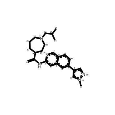 C=C(Nc1cc2cc(-c3cnn(C)c3)ccc2cn1)C1CCCN(CC(C)C)CC1